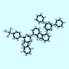 FC(F)(F)c1ccc(-c2nc(-c3cccc4c3oc3cccc(-c5nc(-c6ccccc6)nc(-c6ccccc6)n5)c34)nc3c2sc2ccccc23)cc1